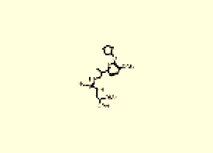 COc1ccc(C(C)CN/C(=N\C#N)NCC(OC)OC)nc1OC1CCCC1